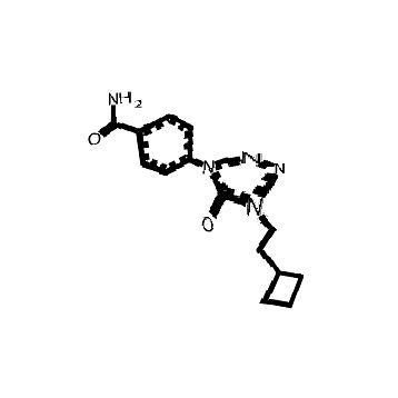 NC(=O)c1ccc(-n2nnn(CCC3CCC3)c2=O)cc1